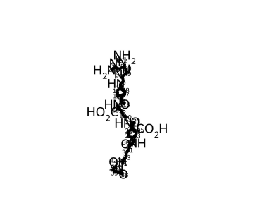 Nc1nc(N)c2nc(CNc3ccc(C(=O)N[C@@H](CCCNC(=O)c4ccc(NC(=O)CCCCCN5C(=O)C=CC5O)cc4C(=O)O)C(=O)O)cc3)cnc2n1